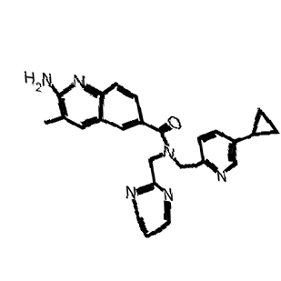 Cc1cc2cc(C(=O)N(Cc3ccc(C4CC4)cn3)Cc3ncccn3)ccc2nc1N